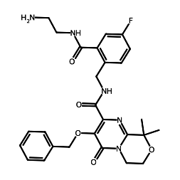 CC1(C)OCCn2c1nc(C(=O)NCc1ccc(F)cc1C(=O)NCCN)c(OCc1ccccc1)c2=O